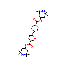 CC1(C)CC(OC(=O)C2CCC(C3=CCC(C(=O)OC4CC(C)(C)NC(C)(C)C4)CO3)CC2)CC(C)(C)N1